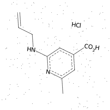 C=CCNc1cc(C(=O)O)cc(C)n1.Cl